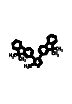 CC1(C)c2ccccc2-c2ccc(-c3csc(N)c3-c3ccc4c(c3)C(C)(C)c3ccccc3-4)cc21